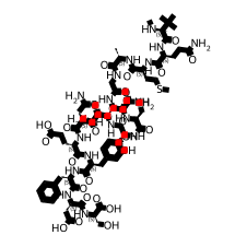 CN[C@H](C(=O)N[C@@H](CCC(N)=O)C(=O)N[C@@H](CCSC)C(=O)N[C@@H](C)C(=O)NCC(=O)N[C@@H](CCC(N)=O)C(=O)N[C@@H](CS)C(=O)N[C@@H](CO)C(=O)N[C@@H](CCC(N)=O)C(=O)N[C@@H](CC(N)=O)C(=O)N[C@@H](CCC(=O)O)C(=O)N[C@@H](Cc1ccc(O)cc1)C(=O)N[C@@H](Cc1ccccc1)C(=O)N[C@@H](CC(=O)O)C(=O)N[C@@H](CO)C(=O)O)C(C)(C)C